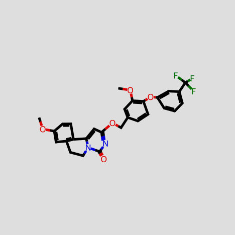 COc1ccc2c(c1)CCn1c-2cc(OCc2ccc(Oc3cccc(C(F)(F)F)c3)c(OC)c2)nc1=O